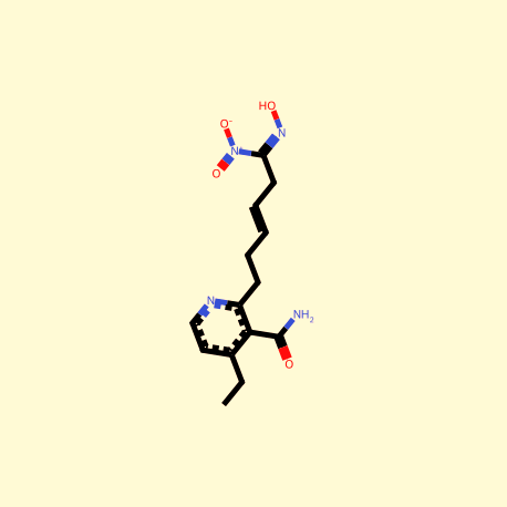 CCc1ccnc(CC/C=C/C/C(=N/O)[N+](=O)[O-])c1C(N)=O